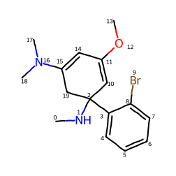 CNC1(c2ccccc2Br)C=C(OC)C=C(N(C)C)C1